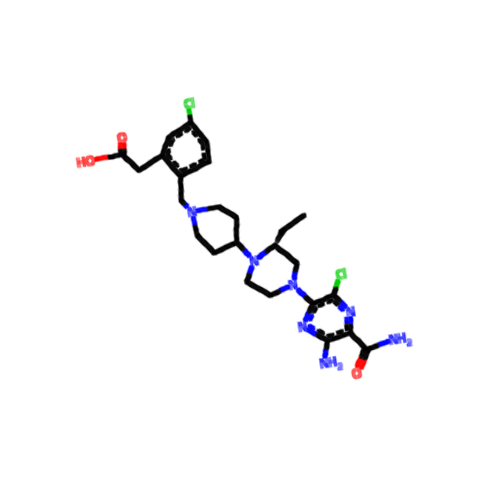 CC[C@H]1CN(c2nc(N)c(C(N)=O)nc2Cl)CCN1C1CCN(Cc2ccc(Cl)cc2CC(=O)O)CC1